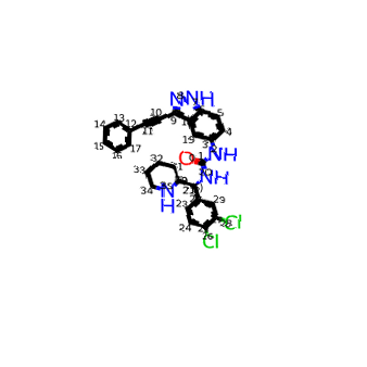 O=C(Nc1ccc2[nH]nc(C#Cc3ccccc3)c2c1)N[C@@H](c1ccc(Cl)c(Cl)c1)[C@@H]1CCCCN1